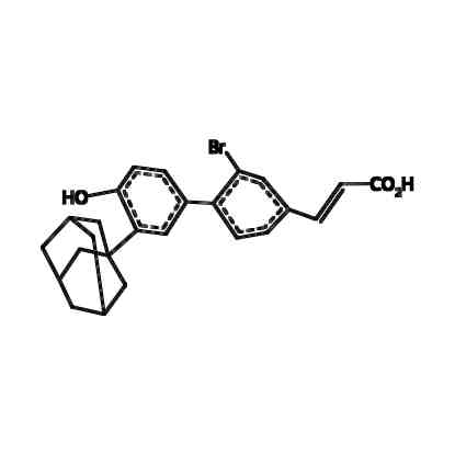 O=C(O)/C=C/c1ccc(-c2ccc(O)c(C34CC5CC(CC(C5)C3)C4)c2)c(Br)c1